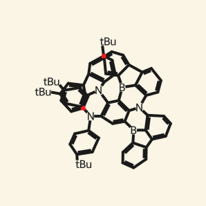 CC(C)(C)c1ccc(N(c2ccc(C(C)(C)C)cc2)c2cc3c4c(c2-n2c5ccc(C(C)(C)C)cc5c5cc(C(C)(C)C)ccc52)B2c5ccccc5-c5cccc(c52)N4c2cccc4c2B3c2ccccc2-4)cc1